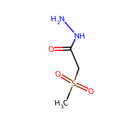 CS(=O)(=O)CC(=O)NN